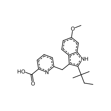 CCC(C)(C)c1[nH]c2cc(OC)ccc2c1Cc1cccc(C(=O)O)n1